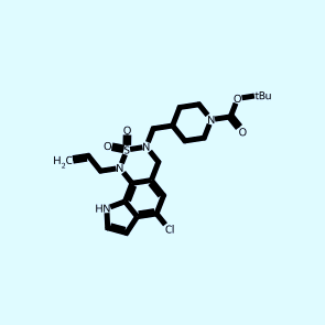 C=CCN1c2c(cc(Cl)c3cc[nH]c23)CN(CC2CCN(C(=O)OC(C)(C)C)CC2)S1(=O)=O